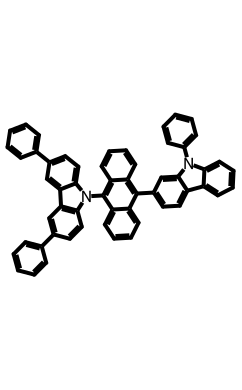 c1ccc(-c2ccc3c(c2)c2cc(-c4ccccc4)ccc2n3-c2c3ccccc3c(-c3ccc4c5ccccc5n(-c5ccccc5)c4c3)c3ccccc23)cc1